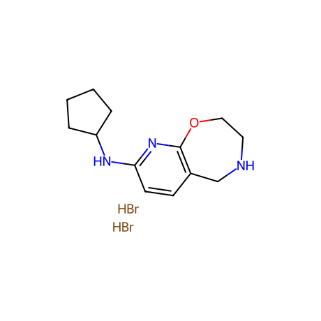 Br.Br.c1cc2c(nc1NC1CCCC1)OCCNC2